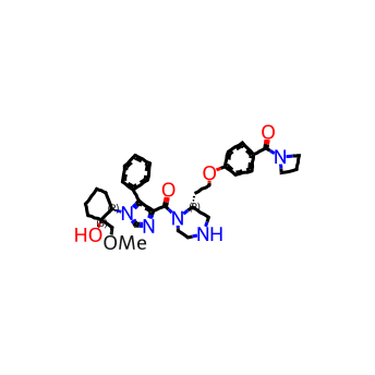 COC[C@]1(O)CCCC[C@H]1n1cnc(C(=O)N2CCNC[C@H]2CCOc2ccc(C(=O)N3CCC3)cc2)c1-c1ccccc1